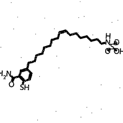 NC(=O)c1cc(CCCCCCCC/C=C\CCCCCCCNS(=O)(=O)O)ccc1S